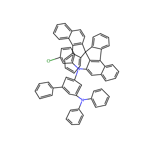 Clc1cccc(N(c2cc(-c3ccccc3)cc(N(c3ccccc3)c3ccccc3)c2)c2cc3ccccc3c3c2C2(c4ccccc4-c4c2ccc2ccccc42)c2ccccc2-3)c1